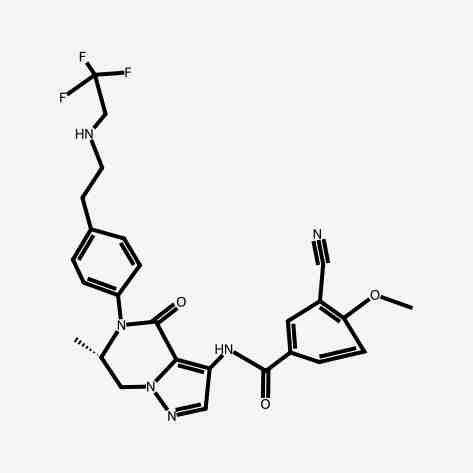 COc1ccc(C(=O)Nc2cnn3c2C(=O)N(c2ccc(CCNCC(F)(F)F)cc2)[C@@H](C)C3)cc1C#N